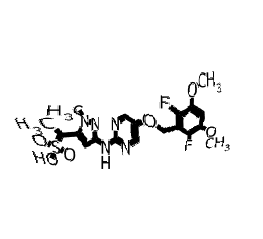 COc1cc(OC)c(F)c(COc2cnc(Nc3cc(C(C)S(=O)(=O)O)n(C)n3)nc2)c1F